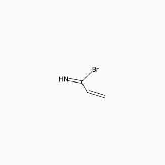 C=CC(=N)Br